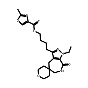 CCn1nc(CCCCOC(=O)c2coc(C)n2)c2c1C(=O)NCC1(CCOCC1)C2